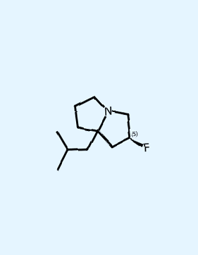 CC(C)CC12CCCN1C[C@@H](F)C2